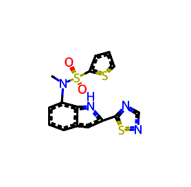 CN(c1cccc2cc(-c3ncns3)[nH]c12)S(=O)(=O)c1cccs1